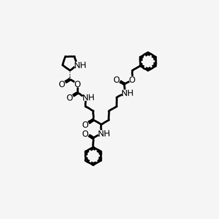 O=C(NCCCCC(NC(=O)c1ccccc1)C(=O)CCNC(=O)OC(=O)[C@@H]1CCCN1)OCc1ccccc1